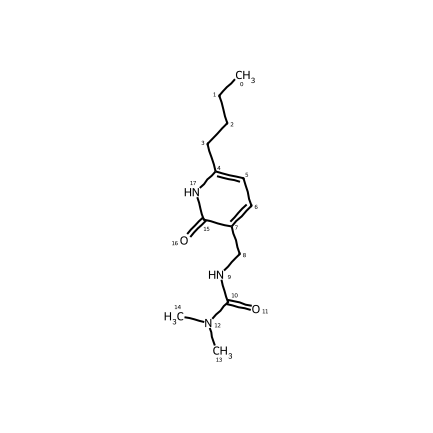 CCCCc1ccc(CNC(=O)N(C)C)c(=O)[nH]1